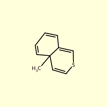 CC12C=[C]SC=C1C=CC=C2